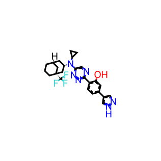 Oc1cc(-c2cn[nH]c2)ccc1-c1ncc(N(C2CC2)[C@H]2C[C@@H]3CCC[C@@](C(F)(F)F)(C3)C2)nn1